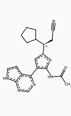 CC(=O)Nc1nn([C@H](CC#N)C2CCCC2)cc1-c1ncnc2[nH]ccc12